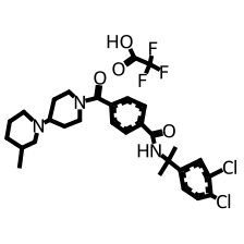 CC1CCCN(C2CCN(C(=O)c3ccc(C(=O)NC(C)(C)c4ccc(Cl)c(Cl)c4)cc3)CC2)C1.O=C(O)C(F)(F)F